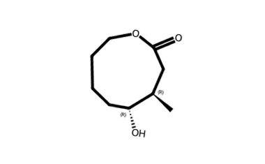 C[C@@H]1CC(=O)OCCCC[C@H]1O